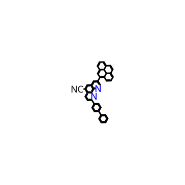 N#Cc1cc2cc(C3=C4C=CC=C5C=CC6=CC=CC(=C3)C6C54)cnc2c2nc(-c3ccc(-c4ccccc4)cc3)ccc12